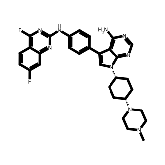 CN1CCN([C@H]2CC[C@@H](n3cc(-c4ccc(Nc5nc(F)c6ccc(F)cc6n5)cc4)c4c(N)ncnc43)CC2)CC1